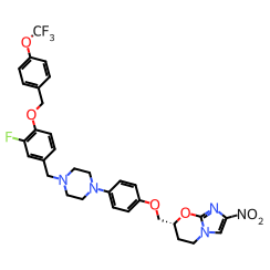 O=[N+]([O-])c1cn2c(n1)O[C@@H](COc1ccc(N3CCN(Cc4ccc(OCc5ccc(OC(F)(F)F)cc5)c(F)c4)CC3)cc1)CC2